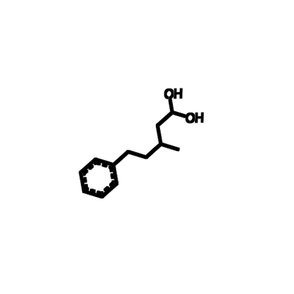 CC(CCc1ccccc1)CC(O)O